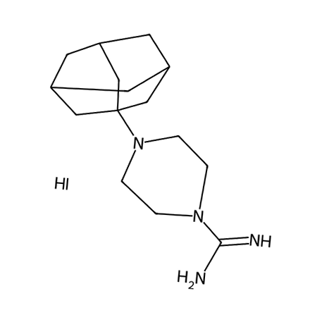 I.N=C(N)N1CCN(C23CC4CC(CC(C4)C2)C3)CC1